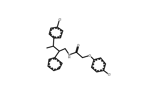 CC(c1ccc(Cl)cc1)C(CNC(=O)COc1ccc(Cl)cc1)c1ccccc1